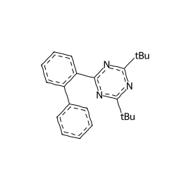 CC(C)(C)c1nc(-c2ccccc2-c2ccccc2)nc(C(C)(C)C)n1